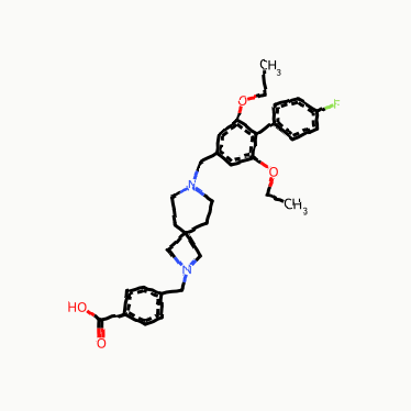 CCOc1cc(CN2CCC3(CC2)CN(Cc2ccc(C(=O)O)cc2)C3)cc(OCC)c1-c1ccc(F)cc1